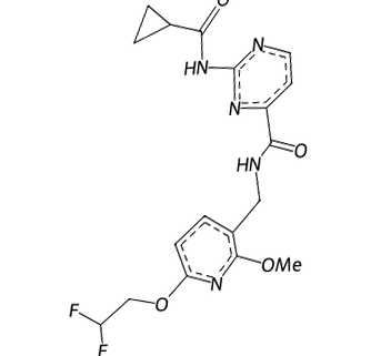 COc1nc(OCC(F)F)ccc1CNC(=O)c1ccnc(NC(=O)C2CC2)n1